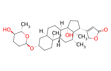 C[C@@H]1O[C@@H](O[C@H]2CC[C@@]3(C)[C@H](CC[C@@H]4[C@@H]3C[C@@H](C)[C@]3(C)[C@@H](C5=CC(=O)OC5)CC[C@]43O)C2)CC[C@H]1O